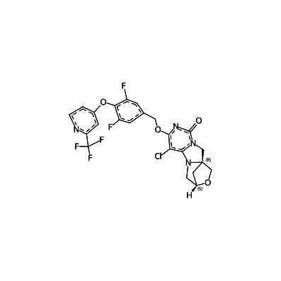 O=c1nc(OCc2cc(F)c(Oc3ccnc(C(F)(F)F)c3)c(F)c2)c(Cl)c2n1C[C@]13CO[C@H](CN21)C3